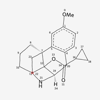 COc1ccc2c(c1)[C@@]13CCCCC1(OC(=O)C1CC1)[C@@H](C2)NCC3